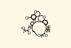 CON(C)C(=O)O[C@H]1/C=C/COC(C)(C)C(=O)NS(=O)(=O)c2ccc3c(c2)N(C[C@@H]2CC[C@H]21)C[C@@]1(CCOc2cc(Cl)ccc21)CO3